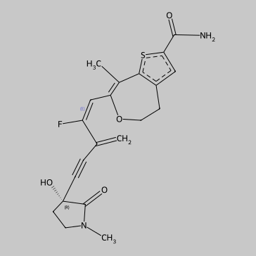 C=C(C#C[C@]1(O)CCN(C)C1=O)/C(F)=C\C1=C(C)c2sc(C(N)=O)cc2CCO1